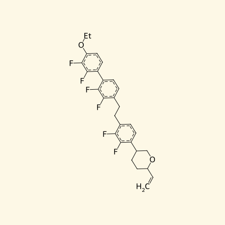 C=CC1CCC(c2ccc(CCc3ccc(-c4ccc(OCC)c(F)c4F)c(F)c3F)c(F)c2F)CO1